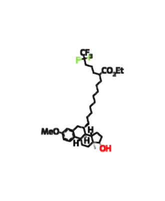 CCOC(=O)C(CCCCCCCCC[C@@H]1Cc2cc(OC)ccc2[C@H]2CC[C@]3(C)[C@@H](O)CC[C@H]3[C@H]12)CCCC(F)(F)C(F)(F)F